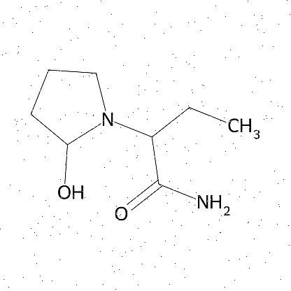 CCC(C(N)=O)N1CCCC1O